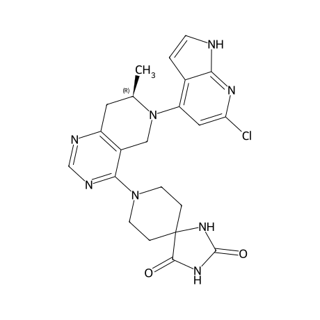 C[C@@H]1Cc2ncnc(N3CCC4(CC3)NC(=O)NC4=O)c2CN1c1cc(Cl)nc2[nH]ccc12